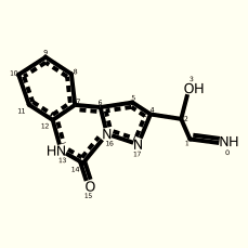 N=CC(O)c1cc2c3ccccc3[nH]c(=O)n2n1